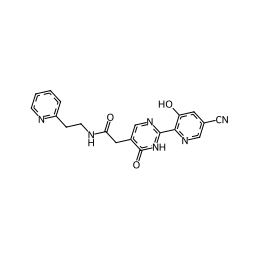 N#Cc1cnc(-c2ncc(CC(=O)NCCc3ccccn3)c(=O)[nH]2)c(O)c1